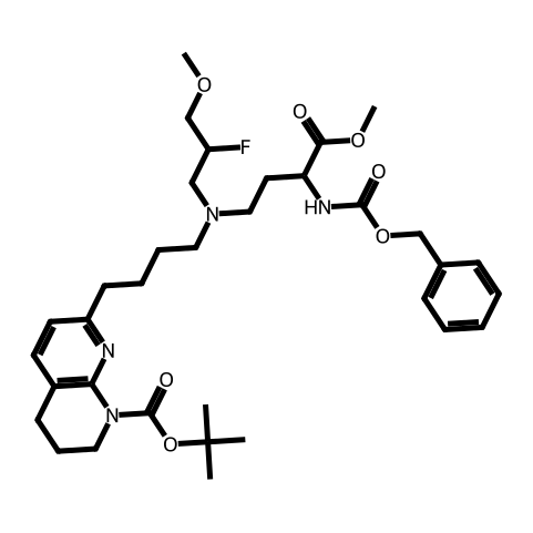 COCC(F)CN(CCCCc1ccc2c(n1)N(C(=O)OC(C)(C)C)CCC2)CCC(NC(=O)OCc1ccccc1)C(=O)OC